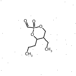 CCCC1OP(=O)(C=O)OCC1CC